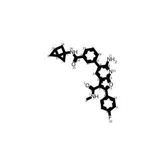 CNC(=O)c1c(-c2ccc(F)cc2)oc2nc(N)c(-c3cccc(C(=O)NC45CC6CC64C5)c3)cc12